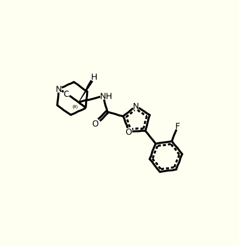 O=C(N[C@H]1CN2CCC1CC2)c1ncc(-c2ccccc2F)o1